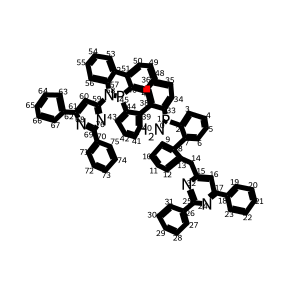 NP(c1ccccc1-c1ccccc1Cc1cc(-c2ccccc2)nc(-c2ccccc2)n1)c1ccccc1-c1ccccc1P1c2ccccc2-c2ccccc2N1c1cc(-c2ccccc2)nc(-c2ccccc2)n1